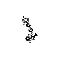 O=c1[nH]nc(-c2ccc(N3CCC(OCc4c(-c5c(Cl)cccc5Cl)noc4C4CC4)CC3)cn2)c(=O)[nH]1